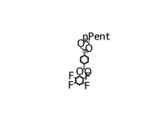 CCCCC[C@@H]1CO[C@@H](c2ccc(C(=O)Oc3c(F)c(F)cc(F)c3F)cc2)CO1